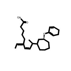 C/C=C(\C=C/C(C)C1CCCC[C@H](OC2=CCCC=C2)C1)CCCCC(=O)N=O